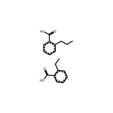 CCCc1ccccc1C(=O)O.CCc1ccccc1C(=O)O